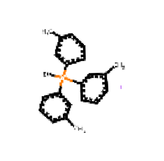 CC[P+](c1cccc(C)c1)(c1cccc(C)c1)c1cccc(C)c1.[I-]